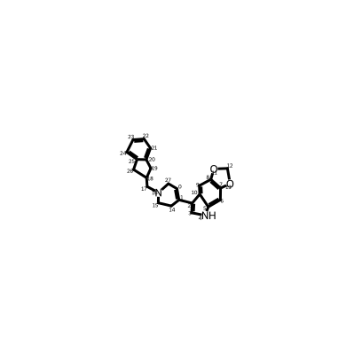 C1=C(c2c[nH]c3cc4c(cc23)OCO4)CCN(CC2Cc3ccccc3C2)C1